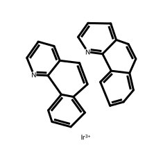 [Ir+3].c1ccc2c(c1)ccc1cccnc12.c1ccc2c(c1)ccc1cccnc12